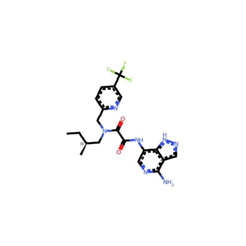 CC[C@H](C)CN(Cc1ccc(C(F)(F)F)cn1)C(=O)C(=O)Nc1cnc(N)c2cn[nH]c12